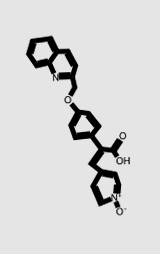 O=C(O)C(=Cc1cc[n+]([O-])cc1)c1ccc(OCc2ccc3ccccc3n2)cc1